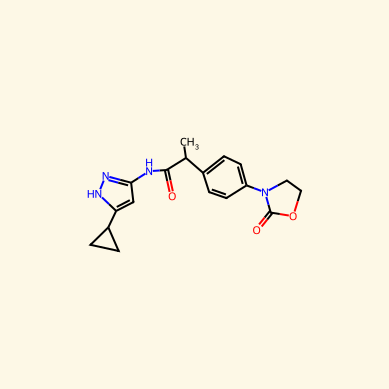 CC(C(=O)Nc1cc(C2CC2)[nH]n1)c1ccc(N2CCOC2=O)cc1